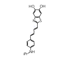 CC(C)Nc1ccc(/C=C/C=C/c2nc3cc(O)c(O)cc3s2)cc1